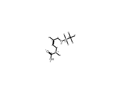 CC(=CCN(C)C(=O)O)CO[Si](C)(C)C(C)(C)C